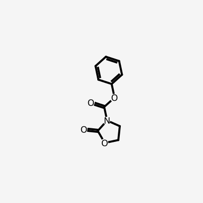 O=C1OCCN1C(=O)Oc1ccccc1